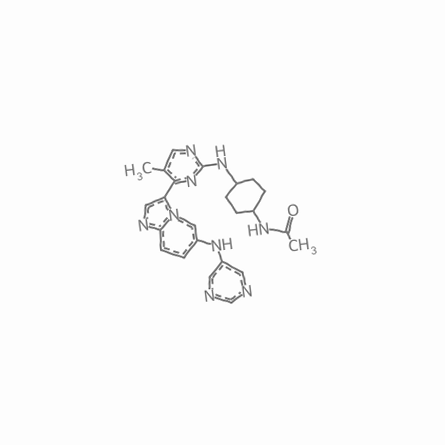 CC(=O)NC1CCC(Nc2ncc(C)c(-c3cnc4ccc(Nc5cncnc5)cn34)n2)CC1